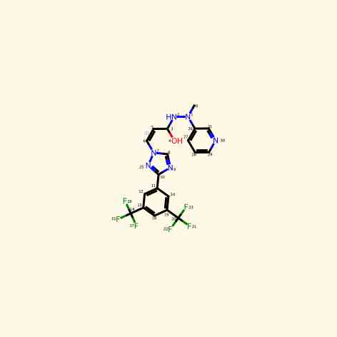 CN(NC(O)/C=C\n1cnc(-c2cc(C(F)(F)F)cc(C(F)(F)F)c2)n1)c1cccnc1